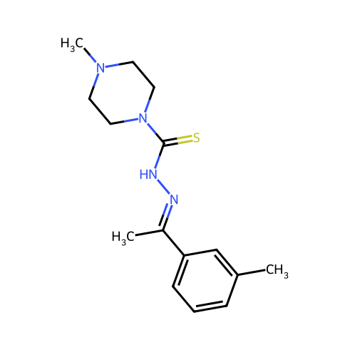 C/C(=N\NC(=S)N1CCN(C)CC1)c1cccc(C)c1